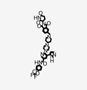 O=C1CCC(N2C(=O)c3ccc(CN4CCC(N5CCN(c6ncc(C(=O)Nc7ccc(OC(F)(F)Cl)cc7)cc6-c6ccn[nH]6)CC5)CC4)cc3C2=O)C(=O)N1